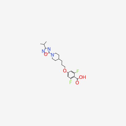 CC(C)c1noc(N2CCC(CCCOc3cc(F)c(C(=O)O)c(F)c3)CC2)n1